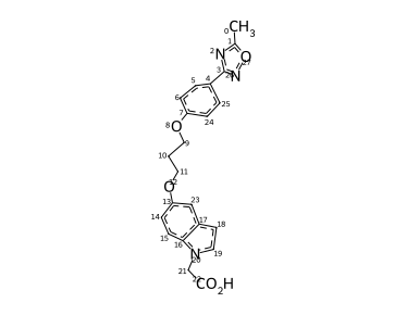 Cc1nc(-c2ccc(OCCCOc3ccc4c(ccn4CC(=O)O)c3)cc2)no1